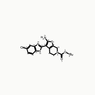 CC(C)(C)OC(=O)N1CCc2c(sc(N)c2-c2nc3cc(Cl)ccc3s2)C1